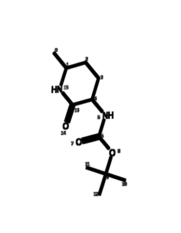 CC1CCC(NC(=O)OC(C)(C)C)C(=O)N1